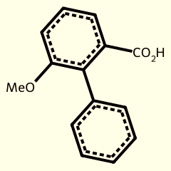 COc1cccc(C(=O)O)c1-c1ccccc1